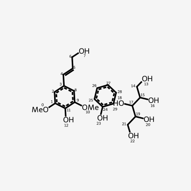 COc1cc(/C=C/CO)cc(OC)c1O.OCC(O)C(O)C(O)CO.Oc1ccccc1